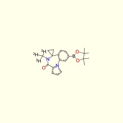 [2H]C([2H])([2H])N1C(=O)c2cccn2-c2cc(B3OC(C)(C)C(C)(C)O3)ccc2C12CC2